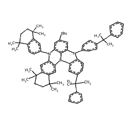 CC(C)(C)c1cc2c3c(c1)N(c1ccc4c(c1)C(C)(C)CCC4(C)C)c1cc4c(cc1B3c1cc(C(C)(C)c3ccccc3)ccc1N2c1ccc(C(C)(C)c2ccccc2)cc1)C(C)(C)CCC4(C)C